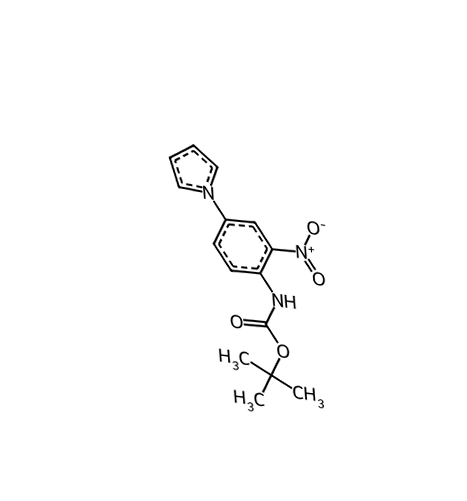 CC(C)(C)OC(=O)Nc1ccc(-n2cccc2)cc1[N+](=O)[O-]